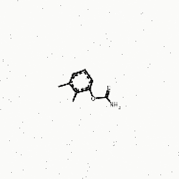 Cc1cccc(OC(N)=O)c1C